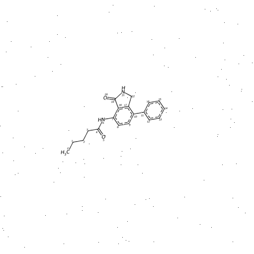 CCCCC(=O)Nc1ccc(-c2ccccc2)c2c1C(=O)NC2